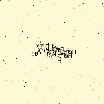 CCOc1ccccc1CNc1ncnc2c1ncn2C1O[C@H](CO)[C@@H](O)[C@H]1O